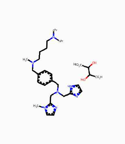 CCCN(CCC)CCCCN(C)Cc1ccc(CN(Cc2ncc[nH]2)Cc2nccn2C)cc1.O=C(O)C(O)C(O)C(=O)O